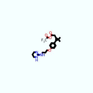 CC1(C)C(CC(=O)OC(=O)C(F)(F)F)C1c1ccc(OCCCNC2=NCCCN2)cc1